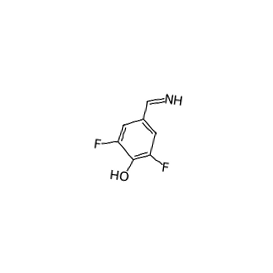 N=Cc1cc(F)c(O)c(F)c1